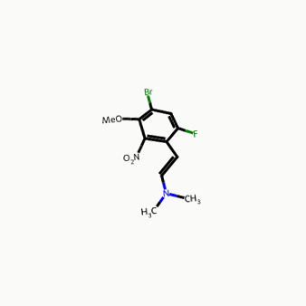 COc1c(Br)cc(F)c(C=CN(C)C)c1[N+](=O)[O-]